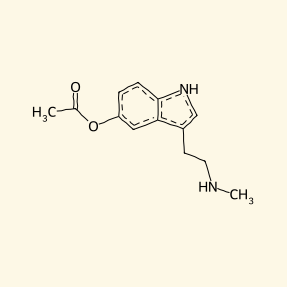 CNCCc1c[nH]c2ccc(OC(C)=O)cc12